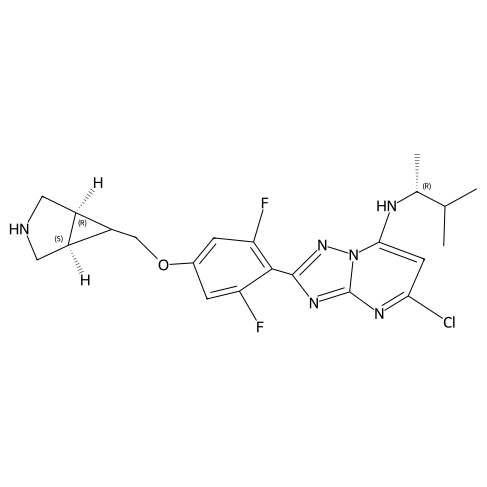 CC(C)[C@@H](C)Nc1cc(Cl)nc2nc(-c3c(F)cc(OCC4[C@H]5CNC[C@@H]45)cc3F)nn12